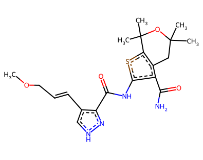 COC/C=C/c1c[nH]nc1C(=O)Nc1sc2c(c1C(N)=O)CC(C)(C)OC2(C)C